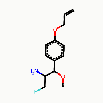 C=CCOc1ccc(C(OC)C(N)CF)cc1